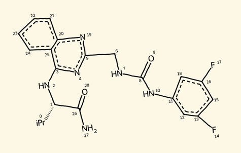 CC(C)[C@H](Nc1nc(CNC(=O)Nc2cc(F)cc(F)c2)nc2ccccc12)C(N)=O